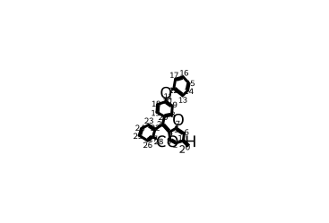 C=c1ccc2c(c1)Oc1cc(Oc3ccccc3)ccc1C=2c1ccccc1C(=O)O